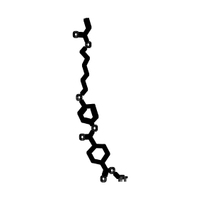 C=CC(=O)OCCCCCCOc1ccc(OC(=O)C2CCC(C(=O)OC(C)C)CC2)cc1